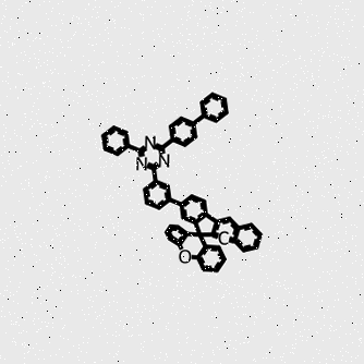 c1ccc(-c2ccc(-c3nc(-c4ccccc4)nc(-c4cccc(-c5ccc6c(c5)C5(c7ccccc7Oc7ccccc75)c5cc7ccccc7cc5-6)c4)n3)cc2)cc1